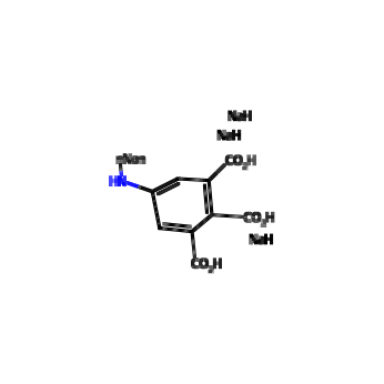 CCCCCCCCCNc1cc(C(=O)O)c(C(=O)O)c(C(=O)O)c1.[NaH].[NaH].[NaH]